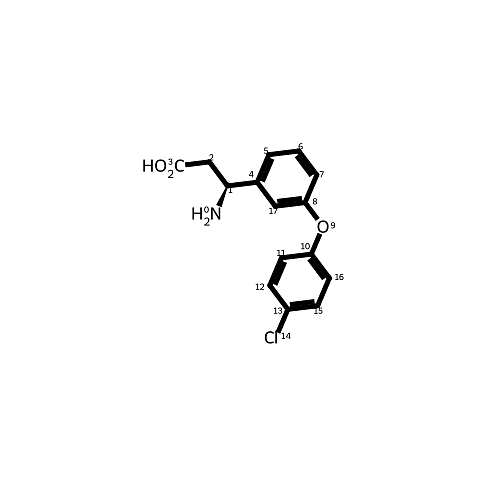 N[C@@H](CC(=O)O)c1cccc(Oc2ccc(Cl)cc2)c1